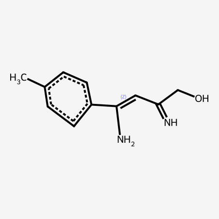 Cc1ccc(/C(N)=C/C(=N)CO)cc1